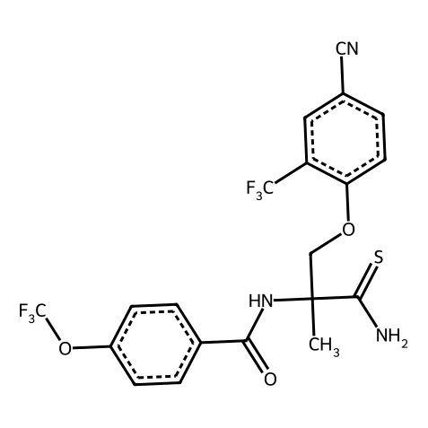 CC(COc1ccc(C#N)cc1C(F)(F)F)(NC(=O)c1ccc(OC(F)(F)F)cc1)C(N)=S